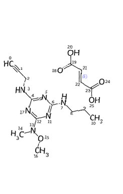 C#CCNc1nc(NCCC)nc(N(C)OC)n1.O=C(O)/C=C/C(=O)O